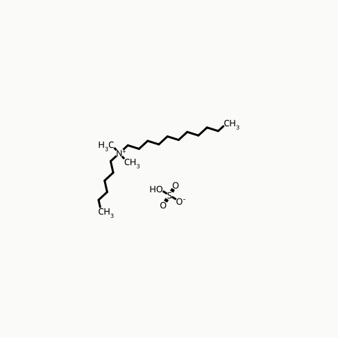 CCCCCCCCCCC[N+](C)(C)CCCCCC.O=S(=O)([O-])O